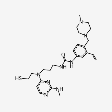 C=Cc1cc(NC(=O)NCCCN(CCS)c2ccnc(NC)n2)ccc1CN1CCN(C)CC1